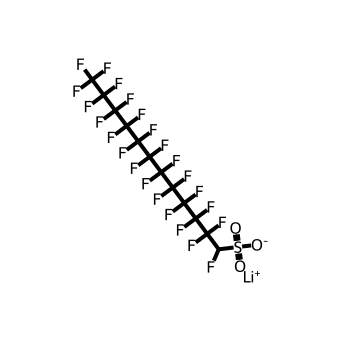 O=S(=O)([O-])C(F)C(F)(F)C(F)(F)C(F)(F)C(F)(F)C(F)(F)C(F)(F)C(F)(F)C(F)(F)C(F)(F)C(F)(F)C(F)(F)F.[Li+]